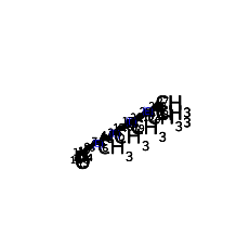 C/C(=C\CC/C(C)=C/CCc1ccoc1)CC/C=C(\C)CC/C=C(\C)CC(C)C